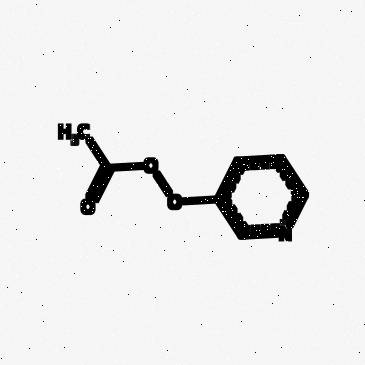 CC(=O)OOc1cccnc1